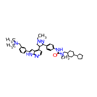 CCN1CC(c2ccnc3[nH]c(-c4cccc(CN(C)C)c4)cc23)C(c2ccc(NC(=O)N(C)CC3CCC(C4CCCC4)CC3)cc2)=N1